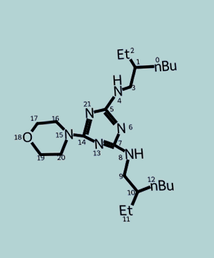 CCCCC(CC)CNc1nc(NCC(CC)CCCC)nc(N2CCOCC2)n1